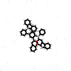 c1ccc(N(c2ccc3sc4ccccc4c3c2)c2ccc(-c3ccccc3-n3c4ccccc4c4ccccc43)cc2-c2ccc3ccccc3c2)cc1